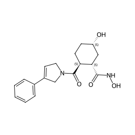 O=C(NO)[C@H]1C[C@@H](O)CC[C@@H]1C(=O)N1CC=C(c2ccccc2)C1